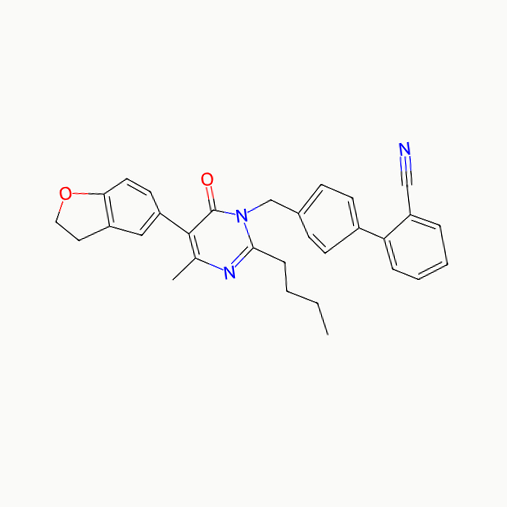 CCCCc1nc(C)c(-c2ccc3c(c2)CCO3)c(=O)n1Cc1ccc(-c2ccccc2C#N)cc1